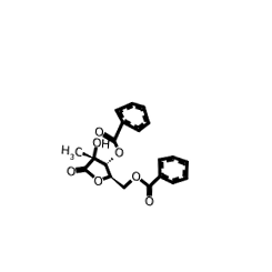 C[C@]1(O)C(=O)O[C@H](COC(=O)c2ccccc2)[C@H]1OC(=O)c1ccccc1